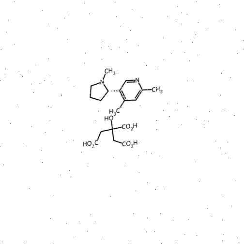 Cc1cc(C)c([C@@H]2CCCN2C)cn1.O=C(O)CC(O)(CC(=O)O)C(=O)O